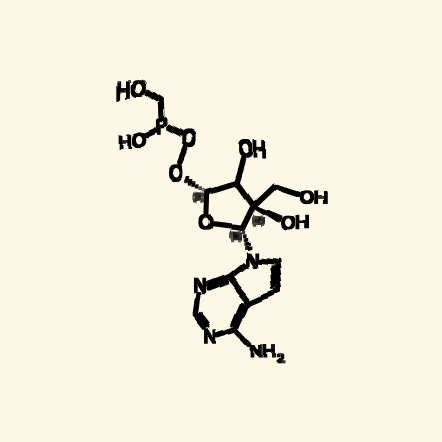 Nc1ncnc2c1ccn2[C@@H]1O[C@H](OOP(O)CO)C(O)[C@]1(O)CO